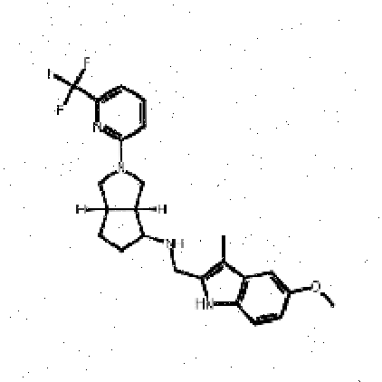 COc1ccc2[nH]c(CN[C@H]3CC[C@@H]4CN(c5cccc(C(F)(F)F)n5)C[C@@H]43)c(C)c2c1